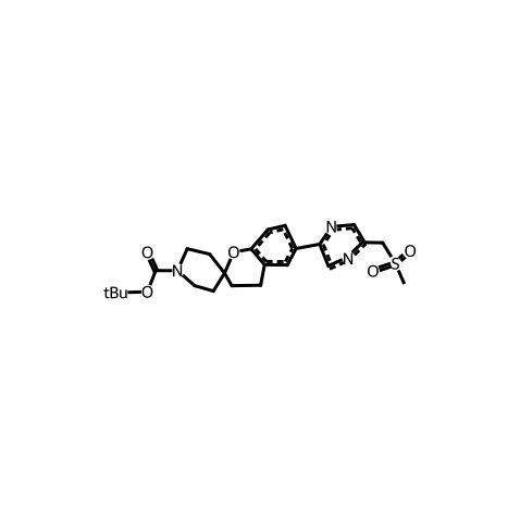 CC(C)(C)OC(=O)N1CCC2(CCc3cc(-c4cnc(CS(C)(=O)=O)cn4)ccc3O2)CC1